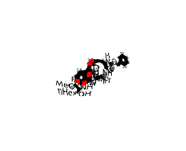 CCCCCCC(O)[C@H](NC(=N)c1nc2oc1C13c4ccccc4N[C@H]1Oc1ccc(cc13)C[C@H](NC(=O)OCc1ccccc1)C(=O)N[C@H]2C(C)C)C(=O)OC